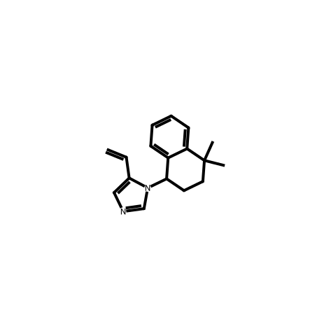 C=Cc1cncn1C1CCC(C)(C)c2ccccc21